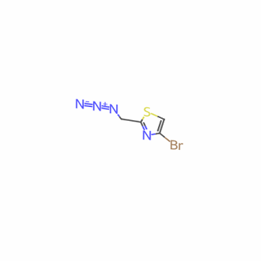 [N-]=[N+]=NCc1nc(Br)cs1